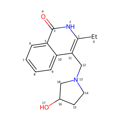 CCc1[nH]c(=O)c2ccccc2c1CN1CCC(O)C1